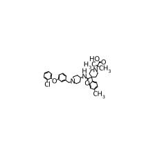 Cc1ccc(C2(C(=O)NC3CCN(Cc4cccc(Oc5ccccc5Cl)c4)CC3)CCN(C(C)(C)C(=O)O)CC2)cc1